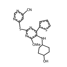 COc1nc(Sc2cc(C#N)ncn2)nc(-c2cccs2)c1NC1CCC(O)CC1